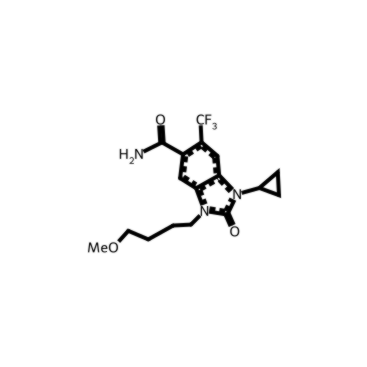 COCCCCn1c(=O)n(C2CC2)c2cc(C(F)(F)F)c(C(N)=O)cc21